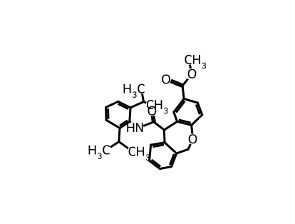 COC(=O)c1ccc2c(c1)C(C(=O)Nc1c(C(C)C)cccc1C(C)C)c1ccccc1CO2